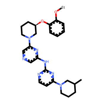 CCOc1ccccc1O[C@@H]1CCCN(c2cncc(Nc3nccc(N4CCCC(C)C4)n3)n2)C1